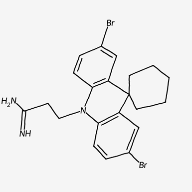 N=C(N)CCN1c2ccc(Br)cc2C2(CCCCC2)c2cc(Br)ccc21